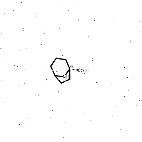 O=C(O)[C@]12CCCC(CC1)N2